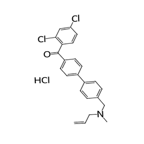 C=CCN(C)Cc1ccc(-c2ccc(C(=O)c3ccc(Cl)cc3Cl)cc2)cc1.Cl